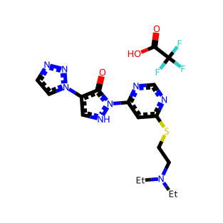 CCN(CC)CCSc1cc(-n2[nH]cc(-n3ccnn3)c2=O)ncn1.O=C(O)C(F)(F)F